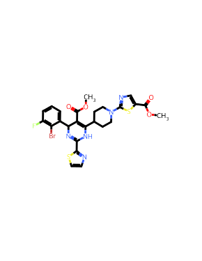 COC(=O)C1=C(C2CCN(c3ncc(C(=O)OC)s3)CC2)NC(c2nccs2)=NC1c1cccc(F)c1Br